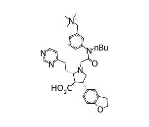 CCCCN(C(=O)CN1C[C@H](c2ccc3c(c2)CCO3)[C@@H](C(=O)O)[C@@H]1CCc1ccncn1)c1cccc(C[N+](C)(C)C)c1